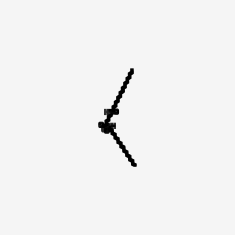 CCCCCCCCC=CCCCCCCCC(=O)NCCCCC(NC(=O)CCCCCCCC=CCCCCCCCC)C(=O)O